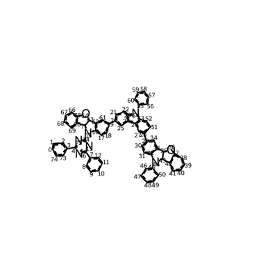 c1ccc(-c2nc(-c3ccccc3)nc(N3c4ccc(-c5ccc6c(c5)c5cc(-c7ccc8c(c7)C7Oc9ccccc9C7N8c7ccccc7)ccc5n6-c5ccccc5)cc4C4Oc5ccccc5C43)n2)cc1